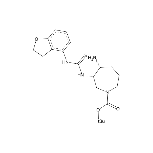 CC(C)(C)OC(=O)N1CCC[C@@H](N)[C@@H](NC(=S)Nc2cccc3c2CCO3)C1